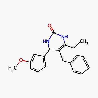 CCC1=C(Cc2ccccc2)C(c2cccc(OC)c2)NC(=O)N1